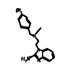 CN(CCn1c(N)nc2ccccc21)Cc1ccc(Br)cc1